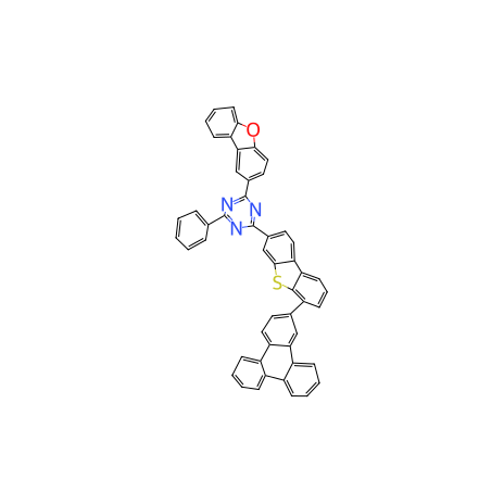 c1ccc(-c2nc(-c3ccc4c(c3)sc3c(-c5ccc6c7ccccc7c7ccccc7c6c5)cccc34)nc(-c3ccc4oc5ccccc5c4c3)n2)cc1